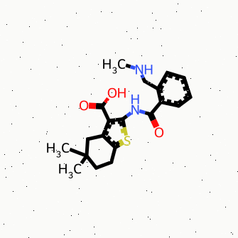 CNCc1ccccc1C(=O)Nc1sc2c(c1C(=O)O)CC(C)(C)CC2